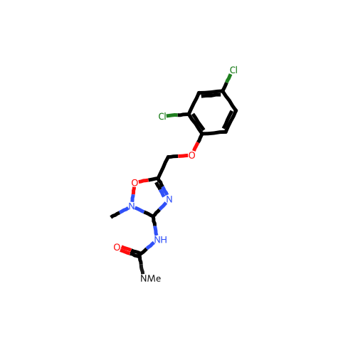 CNC(=O)NC1N=C(COc2ccc(Cl)cc2Cl)ON1C